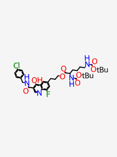 CC(C)(C)OC(=O)NCCCCC(NC(=O)OC(C)(C)C)C(=O)OCCCc1cc(F)c2ncc(C(=O)NCc3ccc(Cl)cc3)c(O)c2c1